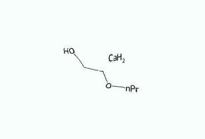 CCCOCCO.[CaH2]